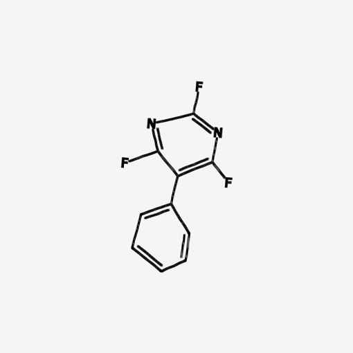 Fc1nc(F)c(-c2ccccc2)c(F)n1